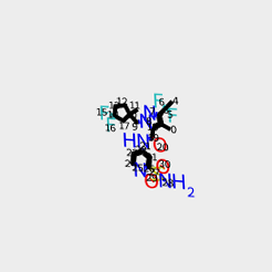 Cc1c(C(C)(F)F)nn(CC2(C)CCC(F)(F)C2)c1C(=O)Nc1ccnc(S(N)(=O)=O)c1